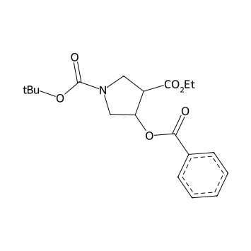 CCOC(=O)C1CN(C(=O)OC(C)(C)C)CC1OC(=O)c1ccccc1